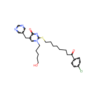 O=C(CCCCCCCSc1nc(=O)c(Cc2cncnc2)cn1CCCCCO)c1ccc(Cl)cc1